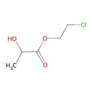 CC(O)C(=O)OCCCl